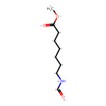 COC(=O)CCCCCCN[C]=O